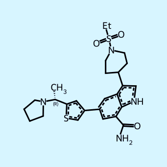 CCS(=O)(=O)N1CCC(c2c[nH]c3c(C(N)=O)cc(-c4csc([C@@H](C)N5CCCC5)c4)cc23)CC1